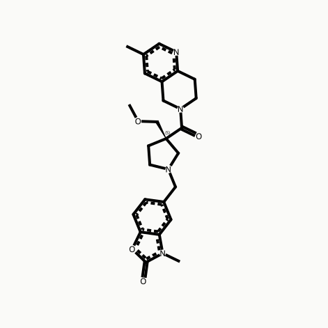 COC[C@]1(C(=O)N2CCc3ncc(C)cc3C2)CCN(Cc2ccc3oc(=O)n(C)c3c2)C1